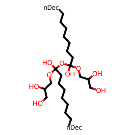 CCCCCCCCCCCCCCCCCC(O)(OCC(O)CO)OC(O)(CCCCCCCCCCCCCCCCC)OCC(O)CO